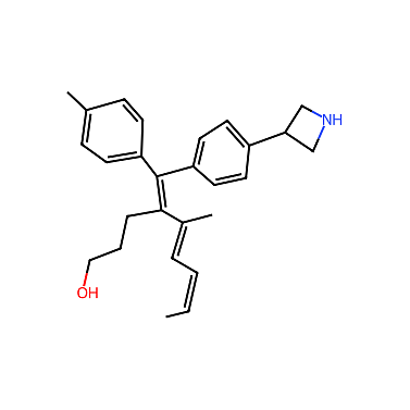 C\C=C/C=C(C)/C(CCCO)=C(/c1ccc(C)cc1)c1ccc(C2CNC2)cc1